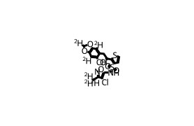 [2H]c1c(C)c(CC(=O)c2sccc2S(=O)(=O)Nc2onc(C([2H])([2H])[2H])c2Cl)c([2H])c2c1OC([2H])O2